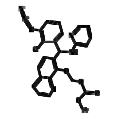 CC(C)OC(=O)OCOc1c(C(Nc2ccccn2)c2cccc(N=[N+]=[N-])c2Cl)ccc2cccnc12